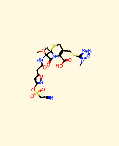 CO[C@@]1(NC(=O)Cc2cc(OS(=O)(=O)CC#N)no2)C(=O)N2C(C(=O)O)=C(CSc3nnnn3C)CS[C@H]21